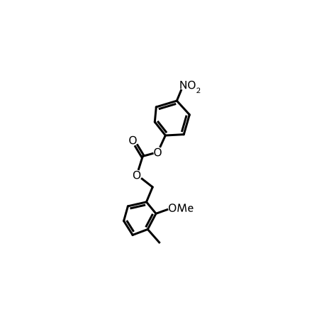 COc1c(C)cccc1COC(=O)Oc1ccc([N+](=O)[O-])cc1